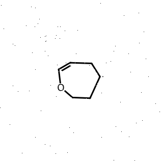 [CH]1CC=COCC1